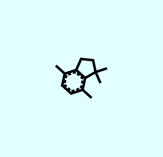 Cc1ccc(C)c2c1CCC2(C)C